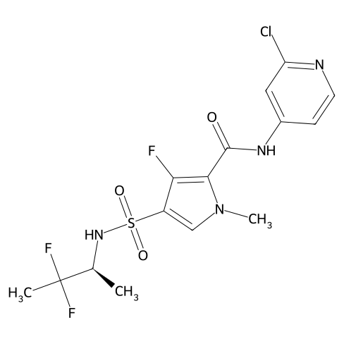 C[C@H](NS(=O)(=O)c1cn(C)c(C(=O)Nc2ccnc(Cl)c2)c1F)C(C)(F)F